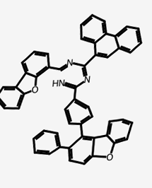 N=C(/N=C(\N=C\c1cccc2c1oc1ccccc12)c1cc2ccccc2c2ccccc12)c1ccc(-c2c(-c3ccccc3)ccc3oc4ccccc4c23)cc1